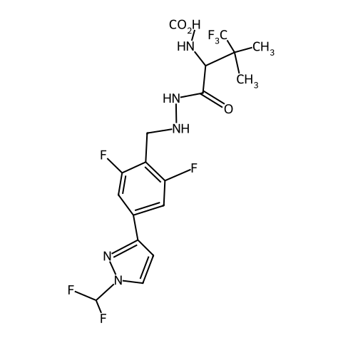 CC(C)(C(NC(=O)O)C(=O)NNCc1c(F)cc(-c2ccn(C(F)F)n2)cc1F)C(F)(F)F